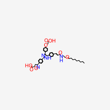 CCCCCCCCCOCCNC(=O)/C=C/c1ccc(-c2[nH]c(-c3ccc(C4=NOC(C(=O)O)C4)cc3)nc2-c2ccc(OCC(=O)O)cc2)cc1